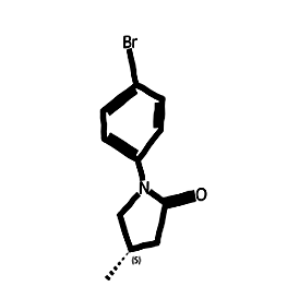 C[C@H]1CC(=O)N(c2ccc(Br)cc2)C1